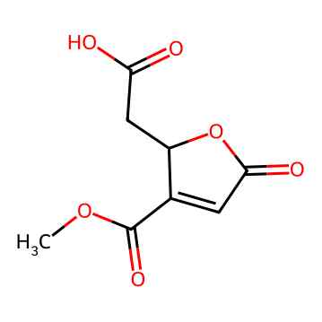 COC(=O)C1=CC(=O)OC1CC(=O)O